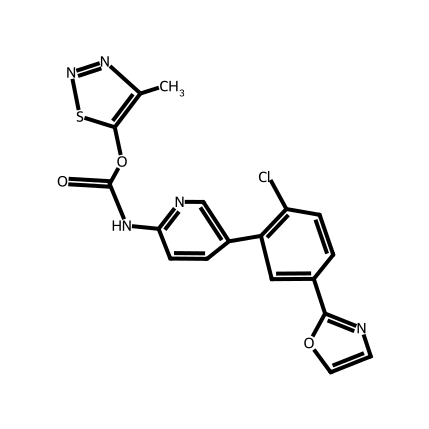 Cc1nnsc1OC(=O)Nc1ccc(-c2cc(-c3ncco3)ccc2Cl)cn1